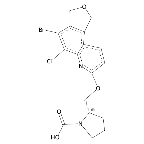 O=C(O)N1CCC[C@H]1COc1ccc2c3c(c(Br)c(Cl)c2n1)COC3